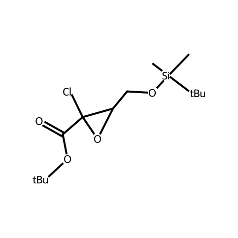 CC(C)(C)OC(=O)C1(Cl)OC1CO[Si](C)(C)C(C)(C)C